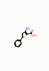 Nc1cc(-c2ccccc2)sc1C(=O)O